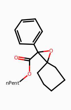 CCCCCOC(=O)C1(c2ccccc2)OC12CCCCC2